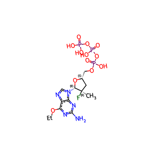 CCOc1nc(N)nc2c1ncn2[C@@H]1O[C@H](COP(=O)(O)OP(=O)(O)OP(=O)(O)O)C[C@@]1(C)F